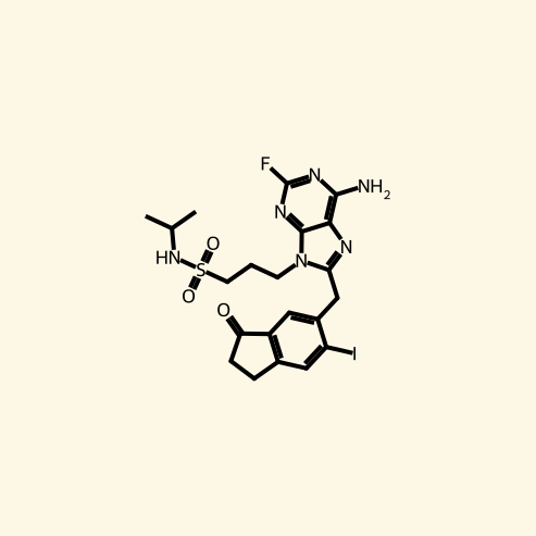 CC(C)NS(=O)(=O)CCCn1c(Cc2cc3c(cc2I)CCC3=O)nc2c(N)nc(F)nc21